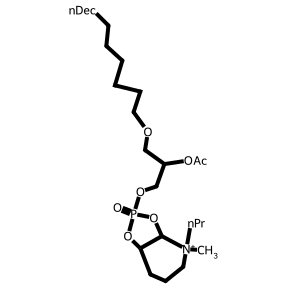 CCCCCCCCCCCCCCCCOCC(COP1(=O)OC2CCC[N+](C)(CCC)C2O1)OC(C)=O